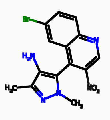 Cc1nn(C)c(-c2c([N+](=O)[O-])cnc3ccc(Br)cc23)c1N